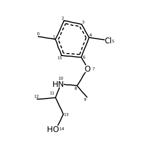 Cc1ccc(Cl)c(OC(C)NC(C)CO)c1